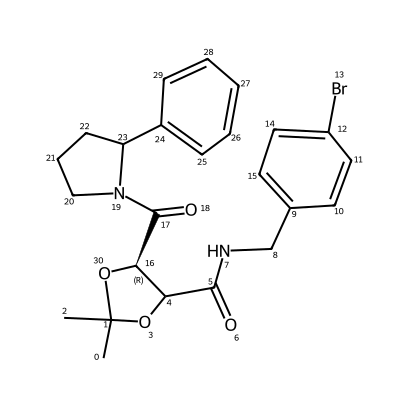 CC1(C)OC(C(=O)NCc2ccc(Br)cc2)[C@H](C(=O)N2CCCC2c2ccccc2)O1